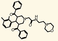 Cc1cccc(C2C(C(=O)c3ccccc3)CN(CC(=O)NCCN3CCOCC3)CC2C(=O)c2ccccc2)c1C